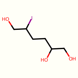 OCC(O)CCC(I)CO